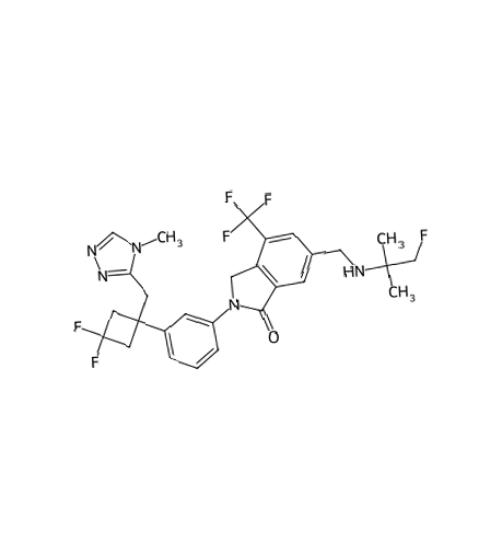 Cn1cnnc1CC1(c2cccc(N3Cc4c(cc(CNC(C)(C)CF)cc4C(F)(F)F)C3=O)c2)CC(F)(F)C1